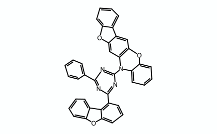 c1ccc(-c2nc(-c3cccc4oc5ccccc5c34)nc(N3c4ccccc4Oc4cc5c(cc43)oc3ccccc35)n2)cc1